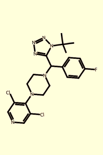 CC(C)(C)n1nnnc1C(c1ccc(F)cc1)N1CCN(c2c(Cl)cncc2Cl)CC1